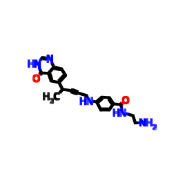 CC(C#CCNc1ccc(C(=O)NCCN)cc1)c1ccc2nc[nH]c(=O)c2c1